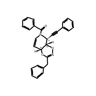 O=C(c1ccccc1)N1C=C[C@H]2OC(Cc3ccccc3)=NO[C@H]2[C@@H]1C#Cc1ccccc1